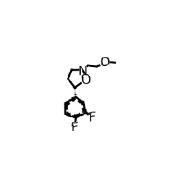 COCCN1CC[C@@H](c2ccc(F)c(F)c2)O1